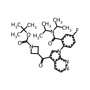 CC(C)N(C(=O)c1cc(F)ccc1-n1cc(C(=O)C2CN(C(=O)OC(C)(C)C)C2)c2ccnnc21)C(C)C